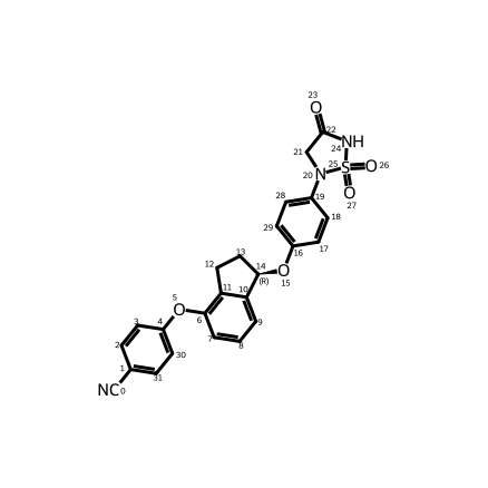 N#Cc1ccc(Oc2cccc3c2CC[C@H]3Oc2ccc(N3CC(=O)NS3(=O)=O)cc2)cc1